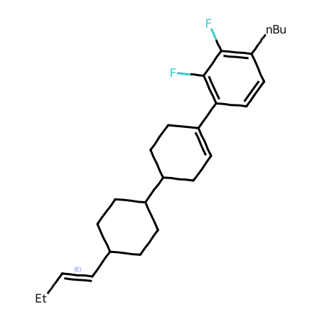 CC/C=C/C1CCC(C2CC=C(c3ccc(CCCC)c(F)c3F)CC2)CC1